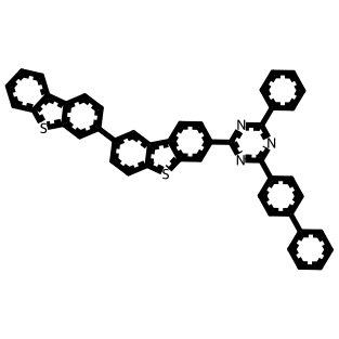 c1ccc(-c2ccc(-c3nc(-c4ccccc4)nc(-c4ccc5c(c4)sc4ccc(-c6ccc7c(c6)sc6ccccc67)cc45)n3)cc2)cc1